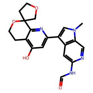 Cn1cc(-c2cc(O)c3c(n2)C2(CCOC2)OCC3)c2cc(NC=O)ncc21